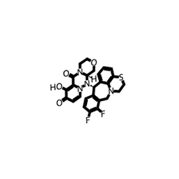 O=C1c2c(O)c(=O)ccn2N([C@H]2c3ccc(F)c(F)c3CN3CCSc4cccc2c43)[C@@H]2COCCN12